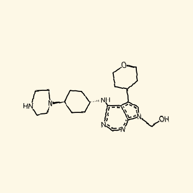 OCn1cc(C2CCOCC2)c2c(N[C@H]3CC[C@H](N4CCNCC4)CC3)ncnc21